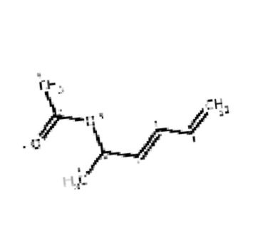 C=CC=CC(C)OC(C)=O